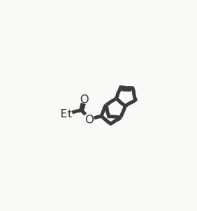 CCC(=O)OC1CC2CC1C1C=CCC21